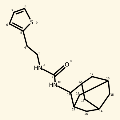 O=C(NCCc1cccs1)NC1C2CC3CC(C2)CC1C3